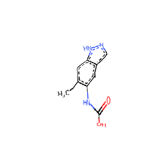 Cc1cc2[nH]ncc2cc1NC(=O)O